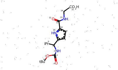 CC(C)C(NC(=O)OC(C)(C)C)c1ccc(C(=O)NCC(=O)O)[nH]1